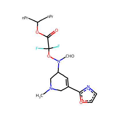 CCCC(CCC)OC(=O)C(F)(F)ON(C=O)C1C=C(c2ncco2)CN(C)C1